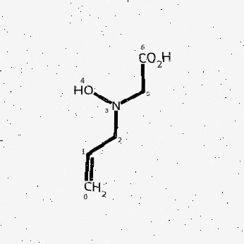 C=CCN(O)CC(=O)O